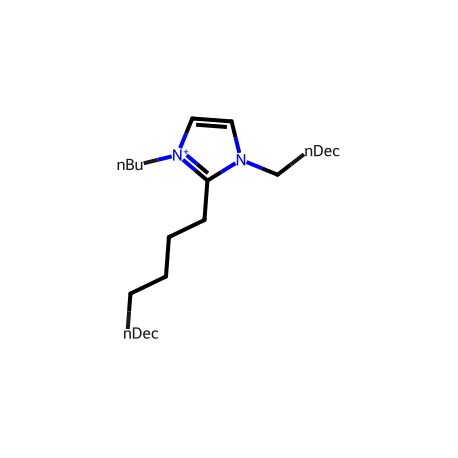 CCCCCCCCCCCCCCc1n(CCCCCCCCCCC)cc[n+]1CCCC